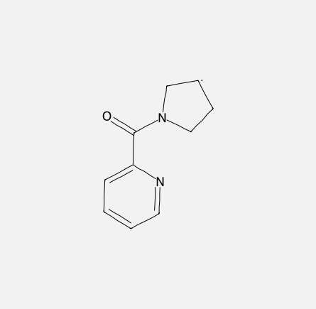 O=C(c1ccccn1)N1C[CH]CC1